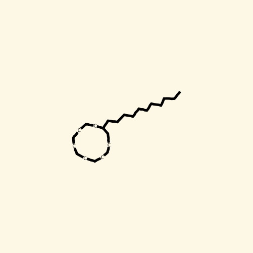 CCCCCCCCCCCC1CCCCCCCCCCCC1